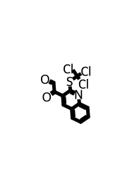 O=CC(=O)c1cc2ccccc2nc1SC(Cl)(Cl)Cl